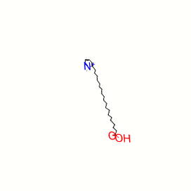 C[n+]1ccccc1CCCCCCCCCCCCCCCCCCCC(=O)O